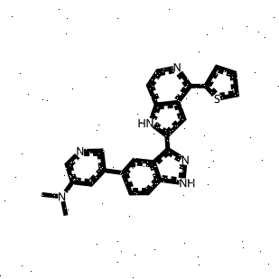 CN(C)c1cncc(-c2ccc3[nH]nc(-c4cc5c(-c6cccs6)nccc5[nH]4)c3c2)c1